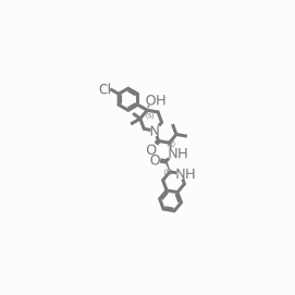 CC(C)[C@@H](NC(=O)[C@@H]1Cc2ccccc2CN1)C(=O)N1CC[C@](O)(c2ccc(Cl)cc2)C(C)(C)C1